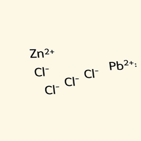 [Cl-].[Cl-].[Cl-].[Cl-].[Pb+2].[Zn+2]